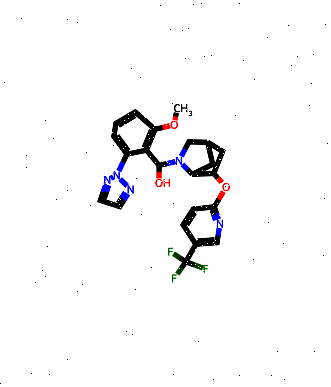 COc1cccc(-n2nccn2)c1C(O)N1CC2CC(Oc3ccc(C(F)(F)F)cn3)C1C2